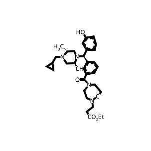 CCOC(=O)CCN1CCCN(C(=O)c2cccc([C@H](c3cccc(O)c3)N3C[C@@H](C)N(CC4CC4)C[C@@H]3C)c2)CC1